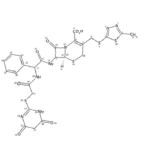 Cc1nnc(SCC2=C(C(=O)O)N3C(=O)C(NC(=O)C(NC(=O)CSC4=NC(=O)CC(=O)N4)c4ccccc4)[C@@H]3SC2)s1